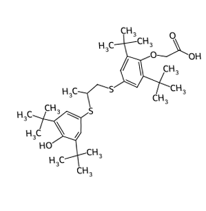 CC(CSc1cc(C(C)(C)C)c(OCC(=O)O)c(C(C)(C)C)c1)Sc1cc(C(C)(C)C)c(O)c(C(C)(C)C)c1